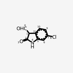 O=CC1C(=O)Nc2cc(Cl)ccc21